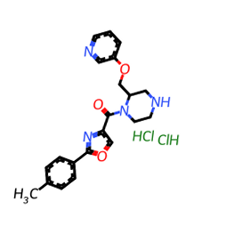 Cc1ccc(-c2nc(C(=O)N3CCNCC3COc3cccnc3)co2)cc1.Cl.Cl